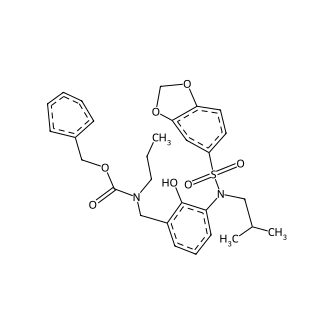 CCCN(Cc1cccc(N(CC(C)C)S(=O)(=O)c2ccc3c(c2)OCO3)c1O)C(=O)OCc1ccccc1